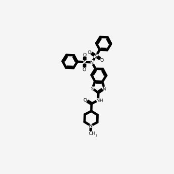 CN1CCC(C(=O)Nc2nc3ccc(N(S(=O)(=O)c4ccccc4)S(=O)(=O)c4ccccc4)cc3s2)CC1